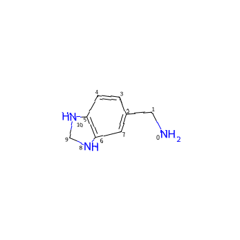 NCc1ccc2c(c1)NCN2